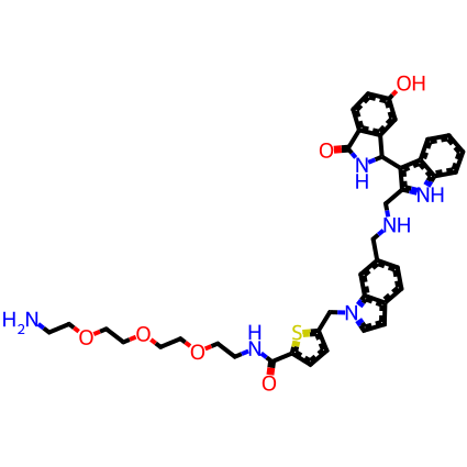 NCCOCCOCCOCCNC(=O)c1ccc(Cn2ccc3ccc(CNCc4[nH]c5ccccc5c4C4NC(=O)c5ccc(O)cc54)cc32)s1